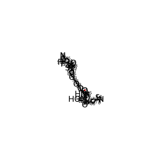 Cc1ncsc1-c1ccc(CNC(=O)[C@@H]2C[C@@H](O)CN2C(=O)C(NC(=O)COCCOCCCOc2ccc(N3C(=S)N(c4ccc(C#N)c(C(F)(F)F)c4)C(=O)C3(C)C)cc2)C(C)(C)C)cc1